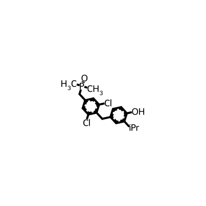 CC(C)c1cc(Cc2c(Cl)cc(CP(C)(C)=O)cc2Cl)ccc1O